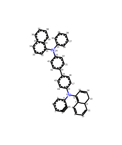 c1cccc(N(C2=C3C=CC=CC3CC=C2)c2ccc(-c3ccc(N(c4ccccc4)c4cccc5ccccc45)cc3)cc2)c#1